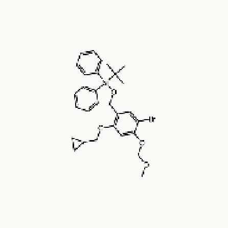 COCOc1cc(OCC2CC2)c(CO[Si](c2ccccc2)(c2ccccc2)C(C)(C)C)cc1Br